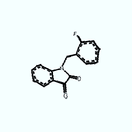 O=C1C(=O)N(Cc2ccccc2F)c2ccccc21